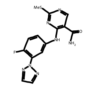 CSc1ncc(C(N)=O)c(Nc2ccc(F)c(-n3nccn3)c2)n1